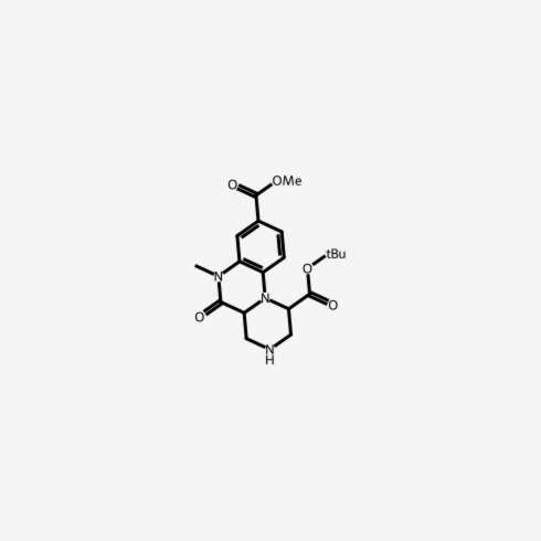 COC(=O)c1ccc2c(c1)N(C)C(=O)C1CNCC(C(=O)OC(C)(C)C)N21